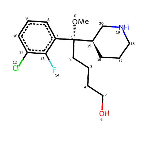 CO[C@](CCCCO)(c1cccc(Cl)c1F)[C@@H]1CCCNC1